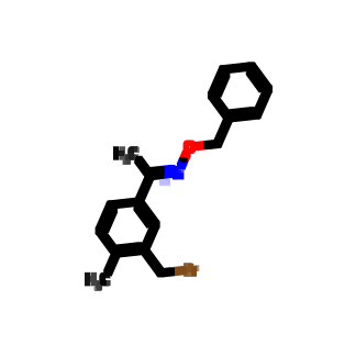 C/C(=N\OCc1ccccc1)c1ccc(C)c(CBr)c1